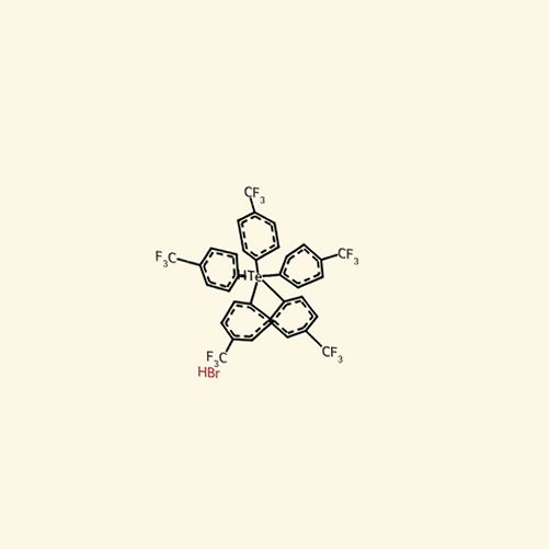 Br.FC(F)(F)c1ccc([TeH](c2ccc(C(F)(F)F)cc2)(c2ccc(C(F)(F)F)cc2)(c2ccc(C(F)(F)F)cc2)c2ccc(C(F)(F)F)cc2)cc1